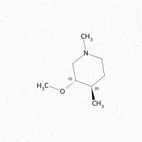 CO[C@@H]1CN(C)CC[C@H]1C